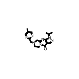 Cc1cnc(CN2CCn3c(nc4c(cnn4C(C)C)c3=O)C2)nc1